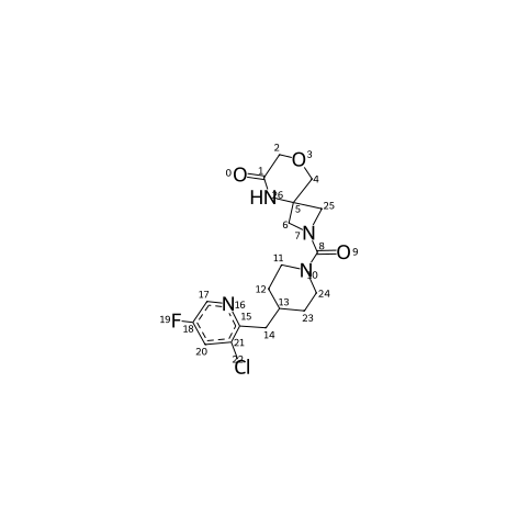 O=C1COCC2(CN(C(=O)N3CCC(Cc4ncc(F)cc4Cl)CC3)C2)N1